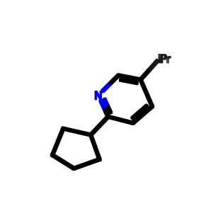 CC(C)c1ccc(C2CCCC2)nc1